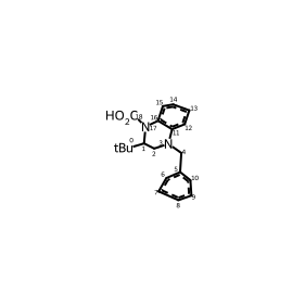 CC(C)(C)C1CN(Cc2ccccc2)c2ccccc2N1C(=O)O